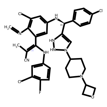 C=Nc1c(Cl)cc(N[C@H](C2=CN(C3CCN(C4COC4)CC3)NN2)c2ccc(Cl)cc2)cc1/C(Nc1ccc(F)c(Cl)c1)=C(\C)C#N